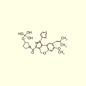 COc1cc2c(cc1C=C(C)C)-c1c(c(C(=O)N3CCC(OC(O)(O)O)C3)nn1-c1ccsc1)CO2